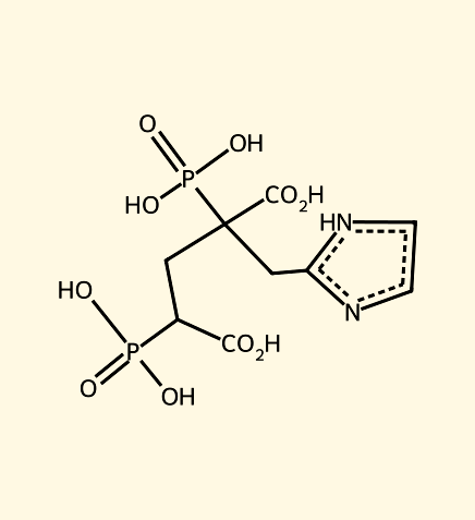 O=C(O)C(CC(Cc1ncc[nH]1)(C(=O)O)P(=O)(O)O)P(=O)(O)O